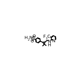 CC1(C)C(CNc2ncccc2C(F)(F)F)C1c1ccc(S(N)(=O)=O)cc1